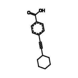 O=C(O)c1ccc(C#CC2CCCCC2)cc1